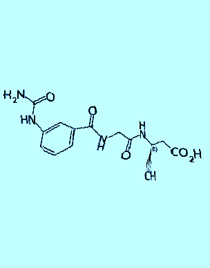 C#C[C@H](CC(=O)O)NC(=O)CNC(=O)c1cccc(NC(N)=O)c1